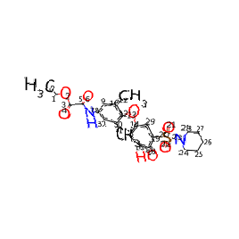 CCOC(=O)C(=O)Nc1cc(C)c(Oc2ccc(O)c(S(=O)(=O)N3CCCCC3)c2)c(C)c1